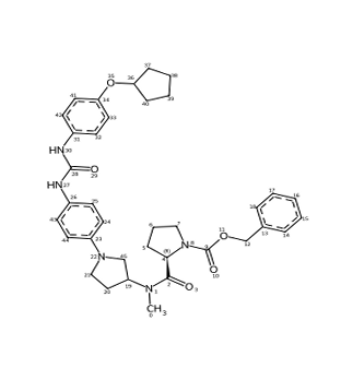 CN(C(=O)[C@H]1CCCN1C(=O)OCc1ccccc1)C1CCN(c2ccc(NC(=O)Nc3ccc(OC4CCCC4)cc3)cc2)C1